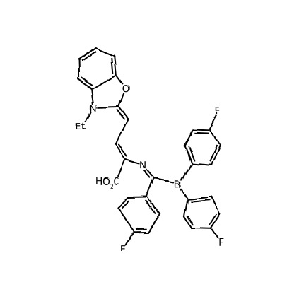 CCN1C(=CC=C(N=C(B(c2ccc(F)cc2)c2ccc(F)cc2)c2ccc(F)cc2)C(=O)O)Oc2ccccc21